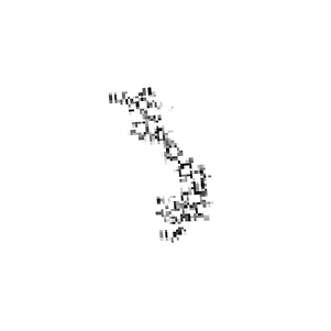 COC(=O)N[C@H](C(=O)N1CCC[C@H]1c1ncc(-c2cnc(-c3ccc4c(ccc5nc([C@@H]6CCCN6C(=O)[C@@H](NC(=O)OC)C(C)C)[nH]c54)c3)nc2)[nH]1)C(C)C